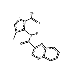 Cc1csc(C(=O)O)c1N(F)C(=O)c1cnc2ccccc2n1